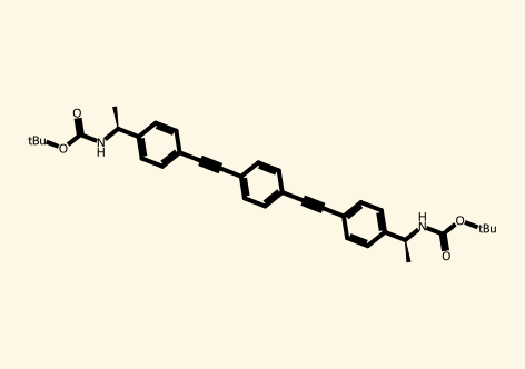 C[C@H](NC(=O)OC(C)(C)C)c1ccc(C#Cc2ccc(C#Cc3ccc([C@H](C)NC(=O)OC(C)(C)C)cc3)cc2)cc1